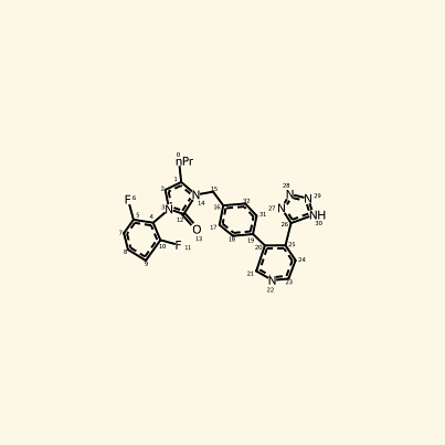 CCCc1cn(-c2c(F)cccc2F)c(=O)n1Cc1ccc(-c2cnccc2-c2nnn[nH]2)cc1